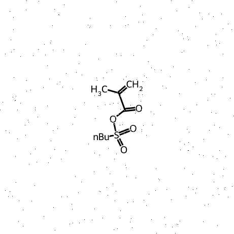 C=C(C)C(=O)OS(=O)(=O)CCCC